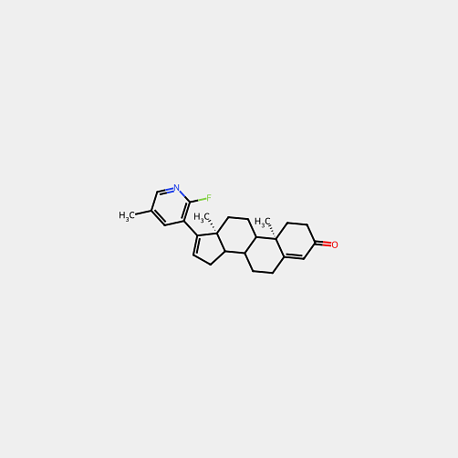 Cc1cnc(F)c(C2=CCC3C4CCC5=CC(=O)CC[C@]5(C)C4CC[C@]23C)c1